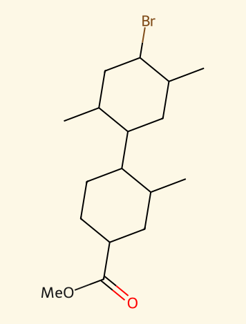 COC(=O)C1CCC(C2CC(C)C(Br)CC2C)C(C)C1